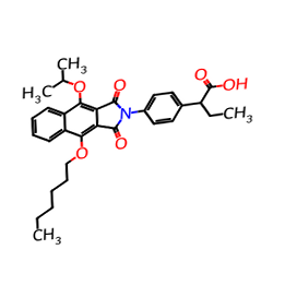 CCCCCCOc1c2c(c(OC(C)C)c3ccccc13)C(=O)N(c1ccc(C(CC)C(=O)O)cc1)C2=O